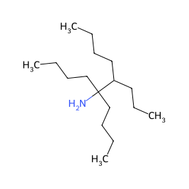 CCCCC(CCC)C(N)(CCCC)CCCC